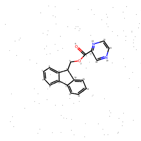 O=C(OCC1c2ccccc2-c2ccccc21)c1cnccn1